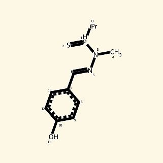 CC(C)[PH](=S)N(C)/N=C/c1ccc(O)cc1